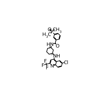 CP(C)(=O)c1cccc(C(=O)N[C@@H]2CCC[C@H](Nc3cc(C(F)(F)F)nc4ccc(Cl)cc34)C2)c1